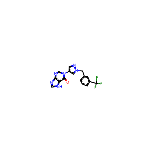 O=c1c2[nH]cnc2ncn1-c1cnn(Cc2cccc(C(F)(F)F)c2)c1